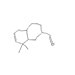 CC1(C)C=CCC2CCC(C=O)CC21